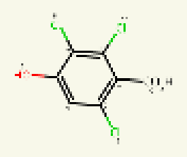 O=C(O)c1c(Cl)cc(O)c(Cl)c1Cl